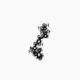 COc1cc(C(=O)NC2CCN(C(=O)COc3cccc4c3C(=O)N(C3CCC(O)NC3=O)C4=O)CC2)ccc1Nc1ncc2c(n1)N(C1CCCC1)CC(F)(F)C(=O)N2C